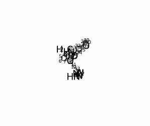 [2H]C([2H])(c1ccccc1OCCCCc1nn[nH]n1)N(C)C(=O)c1ccc(-c2ccco2)cc1